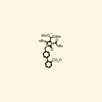 CCCCC(=O)n1c(C(OC)OC)c(CCCC)n(Cc2ccc(-c3ccccc3C(=O)O)cc2)c1=O